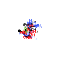 CC[C@H](C)[C@H](NC(=O)[C@@H](CCCNC(=N)N)NC(=O)[C@H](CC(C)C)NC(=O)[C@@H](N)[C@H](O)C(C)C)C(=O)N[C@H](C(=O)NCC(=O)N[C@H](C(=O)N[C@@H](CO)C(=O)NC[C@H](NC(=O)OCc1ccccc1)C(=O)Oc1c(F)c(F)c(F)c(F)c1F)[C@H](O)C(N)=O)[C@H](C)O